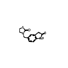 O=C1Cc2cc(CN3CCSC3=O)ccc2N1